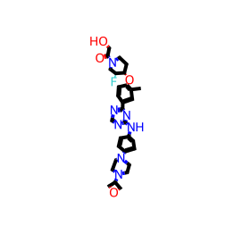 Cc1cc(-c2ncnc(Nc3ccc(N4CCN(C5COC5)CC4)cc3)n2)ccc1O[C@@H]1CCN(C(=O)CO)C[C@H]1F